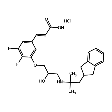 CC(C)(CC1Cc2ccccc2C1)NCC(O)COc1cc(C=CC(=O)O)cc(F)c1F.Cl